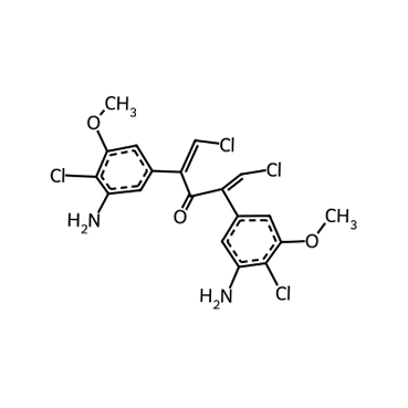 COc1cc(C(=CCl)C(=O)C(=CCl)c2cc(N)c(Cl)c(OC)c2)cc(N)c1Cl